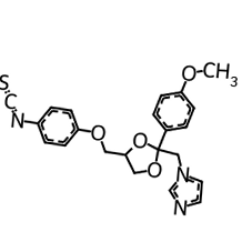 COc1ccc(C2(Cn3ccnc3)OCC(COc3ccc(N=C=S)cc3)O2)cc1